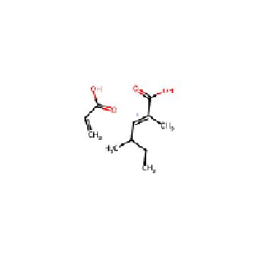 C=CC(=O)O.CCC(C)/C=C(\C)C(=O)O